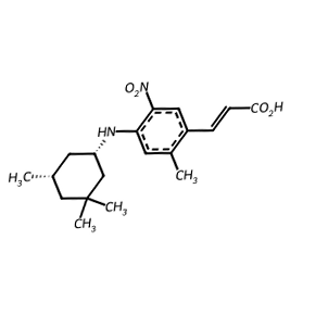 Cc1cc(N[C@H]2C[C@@H](C)CC(C)(C)C2)c([N+](=O)[O-])cc1C=CC(=O)O